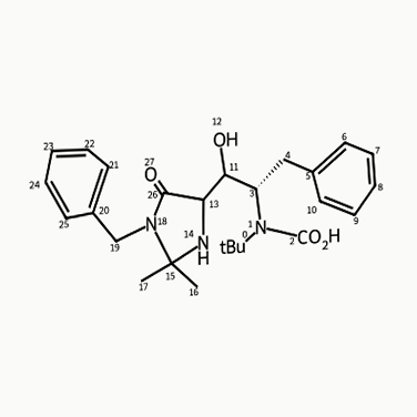 CC(C)(C)N(C(=O)O)[C@@H](Cc1ccccc1)C(O)C1NC(C)(C)N(Cc2ccccc2)C1=O